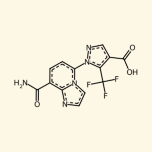 NC(=O)c1ccc(-n2ncc(C(=O)O)c2C(F)(F)F)n2ccnc12